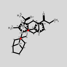 CCC(=O)N1CCc2c(nc(C)n2C2CC3CCC(C2)N3CC[C@H](NC(C)=O)c2nccs2)C1